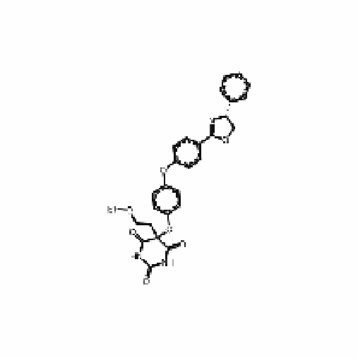 CCOCCC1(Oc2ccc(Oc3ccc(C4=N[C@H](c5ccccc5)CO4)cc3)cc2)C(=O)NC(=O)NC1=O